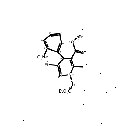 CCCOC(=O)C1=C(C)N(CC(=O)OCC)N=C(CC)C1c1ccccc1[N+](=O)[O-]